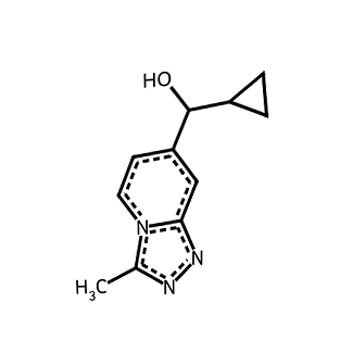 Cc1nnc2cc(C(O)C3CC3)ccn12